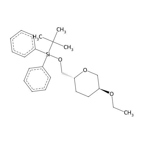 CCO[C@H]1CC[C@H](CO[Si](c2ccccc2)(c2ccccc2)C(C)(C)C)OC1